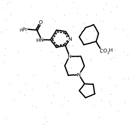 CCCC(=O)Nc1ccnc(N2CCN(C3CCCC3)CC2)c1.O=C(O)C1CCCCC1